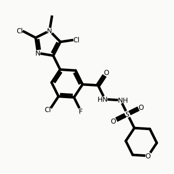 Cn1c(Cl)nc(-c2cc(Cl)c(F)c(C(=O)NNS(=O)(=O)C3CCOCC3)c2)c1Cl